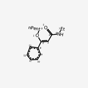 CCCCCOC(=CC(=O)NCC)c1ccccc1